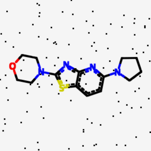 c1cc2sc(N3CCOCC3)nc2nc1N1CCCC1